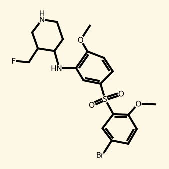 COc1ccc(S(=O)(=O)c2cc(Br)ccc2OC)cc1NC1CCNCC1CF